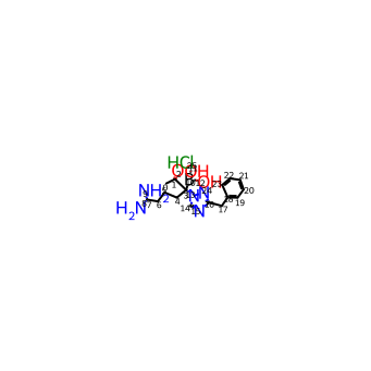 CC(=O)C(CCCC(N)N)(B(O)O)n1cnc(Cc2ccccc2)n1.Cl